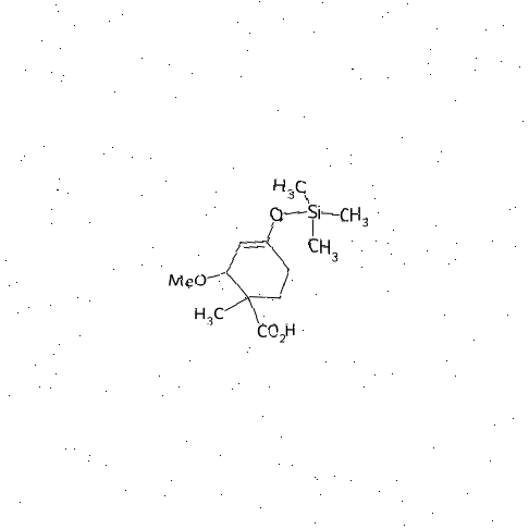 COC1C=C(O[Si](C)(C)C)CCC1(C)C(=O)O